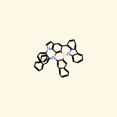 c1ccc(-n2ccc3cc4c5c(c32)N(c2ccc3ccccc3c2)c2cc3ccccc3cc2B5n2c3ccccc3c3cccc-4c32)cc1